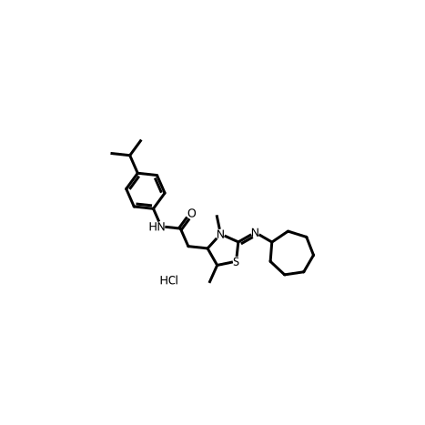 CC(C)c1ccc(NC(=O)CC2C(C)S/C(=N\C3CCCCCC3)N2C)cc1.Cl